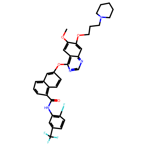 COc1cc2c(Oc3ccc4c(C(=O)Nc5cc(C(F)(F)F)ccc5F)cccc4c3)ncnc2cc1OCCCN1CCCCC1